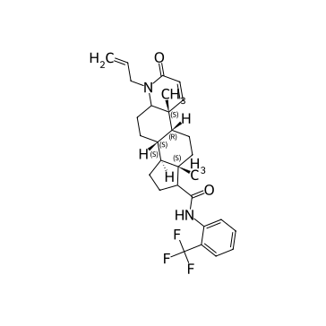 C=CCN1C(=O)C=C[C@@]2(C)C1CC[C@@H]1[C@H]2CC[C@]2(C)C(C(=O)Nc3ccccc3C(F)(F)F)CC[C@@H]12